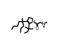 CCCCC(C)(CCC)C1=C(C(C)(C)CC)N(C(=O)CN(C)C)CC1